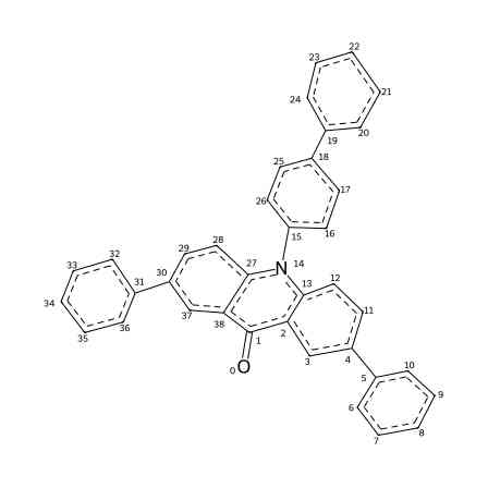 O=c1c2cc(-c3ccccc3)ccc2n(-c2ccc(-c3ccccc3)cc2)c2ccc(-c3ccccc3)cc12